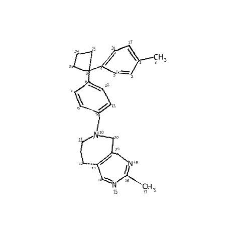 Cc1ccc(C2(c3ccc(N4CCc5cnc(C)nc5C4)cc3)CCC2)cc1